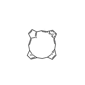 C1=C/C2=C/C3CC=C(CC4C=CC(=N4)/C=c4/cc/c([nH]4)=C/C1=N2)N3